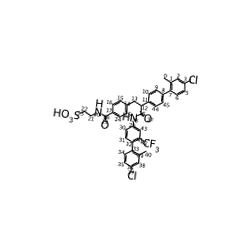 Cc1cc(Cl)ccc1-c1ccc(C(Cc2ccc(C(=O)NCCS(=O)(=O)O)cc2)C(=O)Nc2ccc(-c3ccc(Cl)cc3C)c(C(F)(F)F)c2)cc1